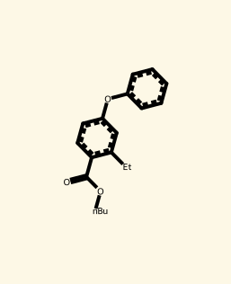 CCCCOC(=O)c1ccc(Oc2ccccc2)cc1CC